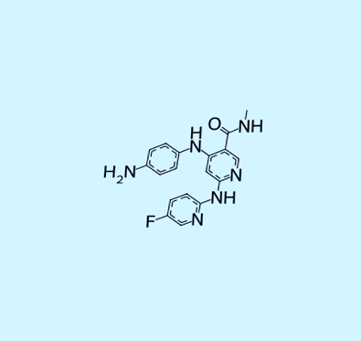 CNC(=O)c1cnc(Nc2ccc(F)cn2)cc1Nc1ccc(N)cc1